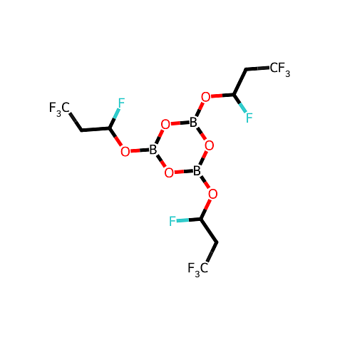 FC(CC(F)(F)F)OB1OB(OC(F)CC(F)(F)F)OB(OC(F)CC(F)(F)F)O1